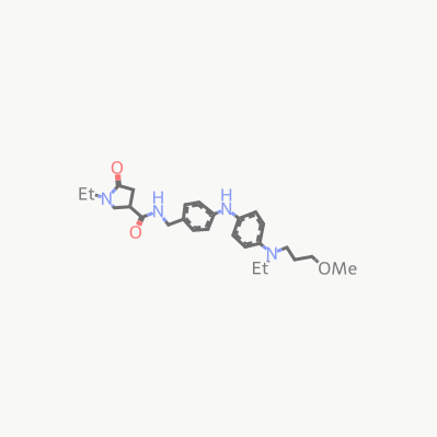 CCN1CC(C(=O)NCc2ccc(Nc3ccc(N(CC)CCCOC)cc3)cc2)CC1=O